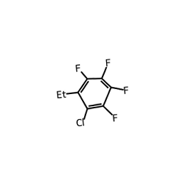 CCc1c(F)c(F)c(F)c(F)c1Cl